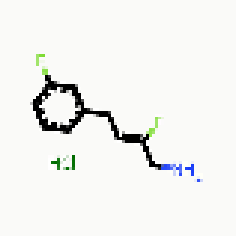 Cl.NC/C(F)=C/Cc1cccc(F)c1